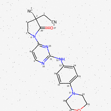 N#CCC1(C#N)CCN(c2ccnc(Nc3ccc(N4CCOCC4)cc3)n2)C1=O